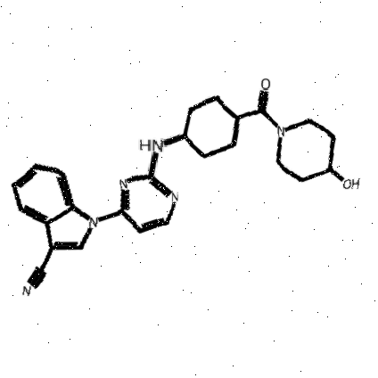 N#Cc1cn(-c2ccnc(NC3CCC(C(=O)N4CCC(O)CC4)CC3)n2)c2ccccc12